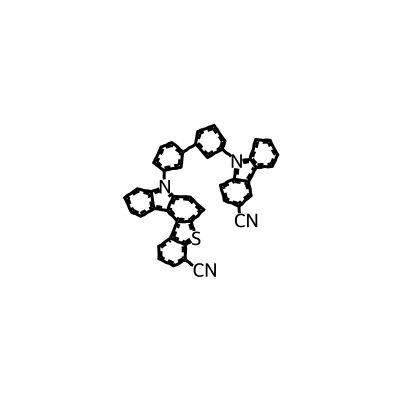 N#Cc1ccc2c(c1)c1ccccc1n2-c1cccc(-c2cccc(-n3c4ccccc4c4c5c(ccc43)sc3c(C#N)cccc35)c2)c1